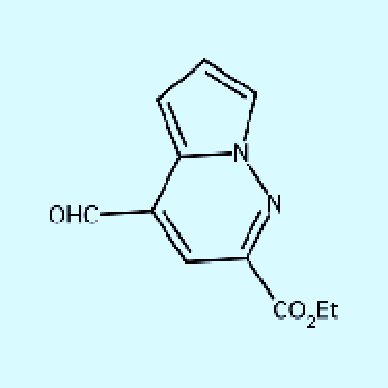 CCOC(=O)c1cc(C=O)c2cccn2n1